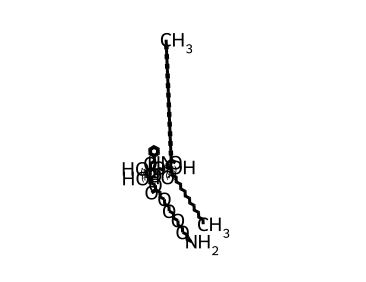 CC#CC#CC#CC#CC#CC#CC#CC#CC#CC#CC#CC#CC(=O)N[C@@H](CO[C@H]1OC(COC(=O)CCOCCOCCOCCOCCN)[C@H](O)[C@H](O)C1OCc1ccccc1)[C@H](O)[C@H](O)CCCCCCCCCCCCCC